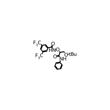 CC(C)(C)OCC(ONC(=O)c1cc(C(F)(F)F)cc(C(F)(F)F)c1)C(=O)Nc1ccccc1